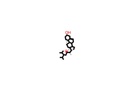 CC(C)C(CC(=O)[C@@H](C)[C@H]1CCC2C3CC=C4C[C@@H](O)CC[C@]4(C)C3CC[C@@]21C)C(C)C